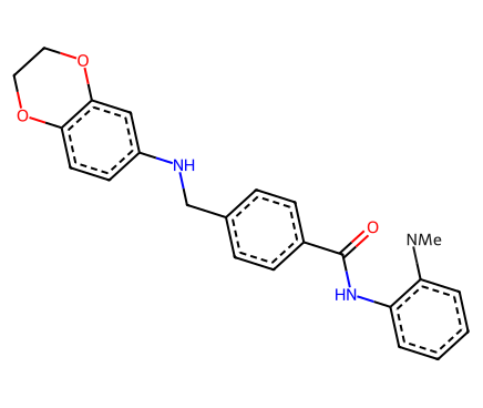 CNc1ccccc1NC(=O)c1ccc(CNc2ccc3c(c2)OCCO3)cc1